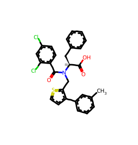 Cc1cccc(-c2ccsc2CN(C(=O)c2ccc(Cl)cc2Cl)[C@@H](Cc2ccccc2)C(=O)O)c1